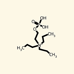 CCC[N+](CCC)(CCC)CCOP(=O)(O)O